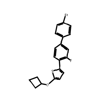 CCc1ccc(-c2ccc(-c3ccc(OC4CCC4)s3)c(F)c2)cc1